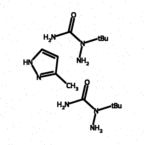 CC(C)(C)N(N)C(N)=O.CC(C)(C)N(N)C(N)=O.Cc1cc[nH]n1